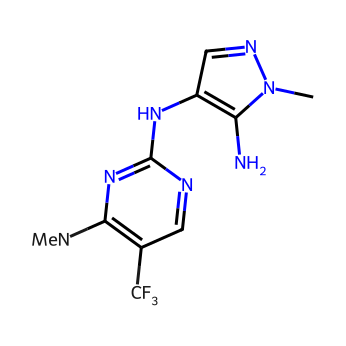 CNc1nc(Nc2cnn(C)c2N)ncc1C(F)(F)F